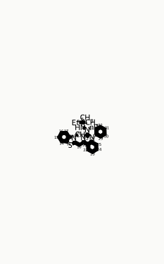 CCCN(NC(C)(C)CC)c1nc(/C=C2/Sc3ccccc3N2C)c2ccccc2[n+]1-c1ccccc1